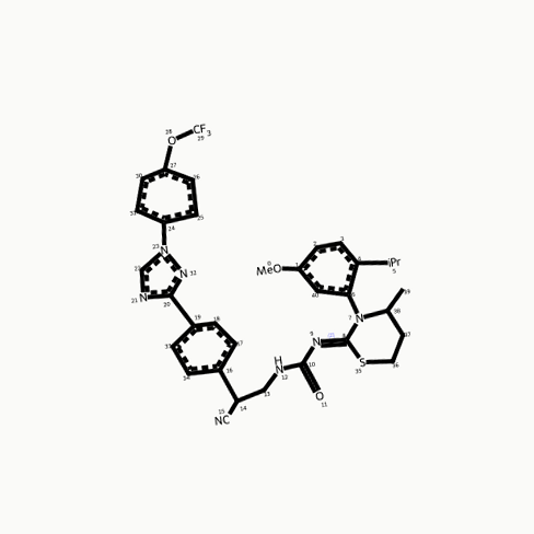 COc1ccc(C(C)C)c(N2/C(=N/C(=O)NCC(C#N)c3ccc(-c4ncn(-c5ccc(OC(F)(F)F)cc5)n4)cc3)SCCC2C)c1